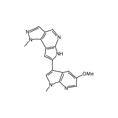 COc1cnc2c(c1)c(-c1cc3c(ncc4cnn(C)c43)[nH]1)cn2C